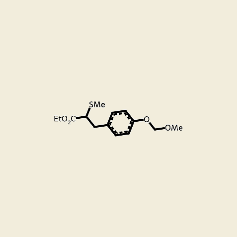 CCOC(=O)C(Cc1ccc(OCOC)cc1)SC